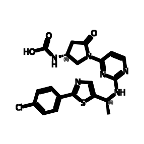 C[C@H](Nc1nccc(N2C[C@H](NC(=O)O)CC2=O)n1)c1cnc(-c2ccc(Cl)cc2)s1